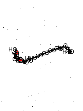 CCc1c2c(nc3ccc(O)cc13)-c1cc3c(c(=O)n1C2)COC(=O)C3(CC)OC(=O)OCC(NC(=O)COCC(=O)NCCOCCOCCOCCOCCOCCOCCOCCOCCn1cc(CNC(=O)C2CCC(CN3C(=O)CC(C)C3=O)CC2)nn1)C(C)C